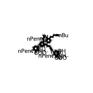 CCCCC#CCCCc1ccccc1N=C(C)C(CCCCC)=Nc1ccccc1CCCC#CCCCC.CCCCCc1ccc(O)c(O)c1C(=O)[O-].CCCCCc1ccc(O)c(O)c1C(=O)[O-].[Ni+2]